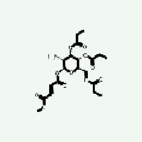 CCC(=O)OC[C@H]1O[C@@H](OC(=O)/C=C/C(=O)OC)[C@H](N)[C@@H](OC(=O)CC)[C@@H]1OC(=O)CC